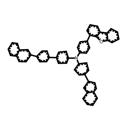 c1ccc2cc(-c3ccc(-c4ccc(N(c5ccc(-c6ccc7ccccc7c6)cc5)c5ccc(-c6cccc7c6oc6ccccc67)cc5)cc4)cc3)ccc2c1